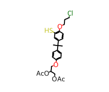 CC(=O)OCC(COc1ccc(C(C)(C)c2ccc(OCCCCl)c(S)c2)cc1)OC(C)=O